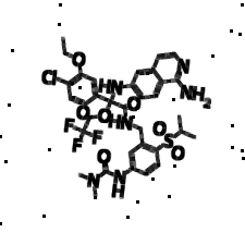 CCOc1cc(C(Nc2ccc3c(N)nccc3c2)(OC(=O)C(F)(F)F)C(=O)NCc2cc(NC(=O)N(C)C)ccc2S(=O)(=O)C(C)C)ccc1Cl